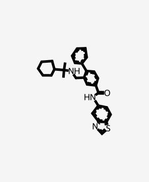 CC(C)(NCc1cc(C(=O)Nc2ccc3scnc3c2)ccc1-c1ccccc1)C1CCCCC1